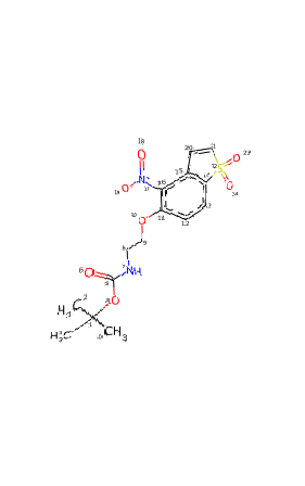 CC(C)(C)OC(=O)NCCOc1ccc2c(c1[N+](=O)[O-])C=CS2(=O)=O